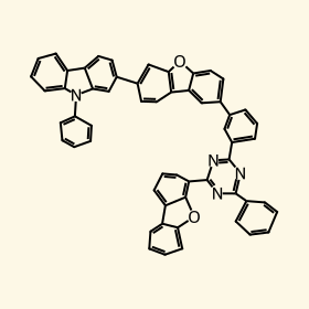 c1ccc(-c2nc(-c3cccc(-c4ccc5oc6cc(-c7ccc8c9ccccc9n(-c9ccccc9)c8c7)ccc6c5c4)c3)nc(-c3cccc4c3oc3ccccc34)n2)cc1